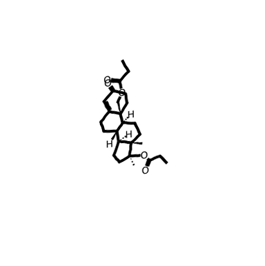 CCC(=O)OC[C@]12CCC(=O)C=C1CC[C@@H]1[C@@H]2CC[C@@]2(C)[C@H]1CC[C@]2(C)OC(=O)CC